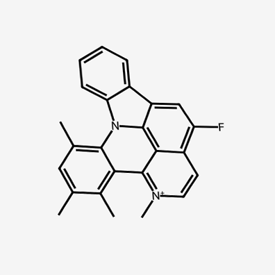 Cc1cc(C)c2c(c1C)c1c3c(cc[n+]1C)c(F)cc1c4ccccc4n2c13